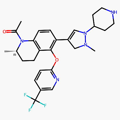 CC(=O)N1c2ccc(C3=CN(C4CCNCC4)N(C)C3)c(Oc3ccc(C(F)(F)F)cn3)c2CC[C@@H]1C